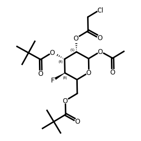 CC(=O)OC1OC(COC(=O)C(C)(C)C)[C@@H](F)[C@H](OC(=O)C(C)(C)C)[C@@H]1OC(=O)CCl